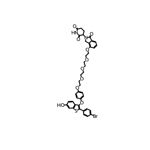 O=C1CCC(N2Cc3c(OCCOCCOCCOCCOc4ccc(Oc5c(-c6ccc(Br)cc6)sc6cc(O)ccc56)cc4)cccc3C2=O)C(=O)N1